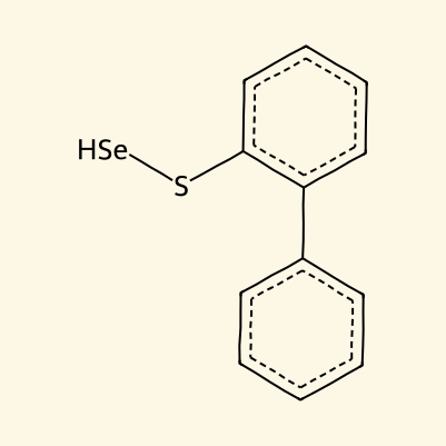 [SeH]Sc1ccccc1-c1ccccc1